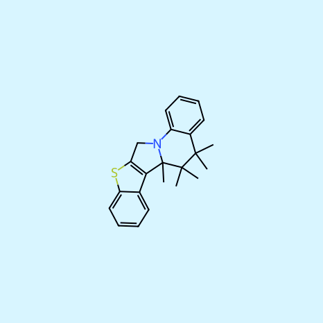 CC1(C)c2ccccc2N2Cc3sc4ccccc4c3C2(C)C1(C)C